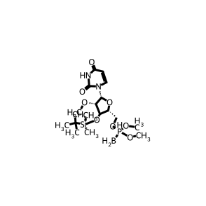 B[PH](OC)(OC)OC[C@H]1O[C@@H](n2ccc(=O)[nH]c2=O)[C@@H](OC)C1O[Si](C)(C)C(C)(C)C